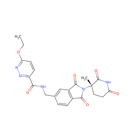 CCOc1ccc(C(=O)NCc2ccc3c(c2)C(=O)N([C@@]2(C)CCC(=O)NC2=O)C3=O)nn1